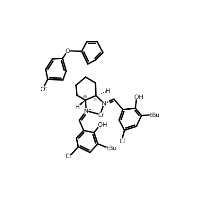 CC(C)(C)c1cc(Cl)cc(C=[N+]2[Cr][N+](=Cc3cc(Cl)cc(C(C)(C)C)c3O)[C@@H]3CCCC[C@H]32)c1O.[O-]c1ccc(Oc2ccccc2)cc1